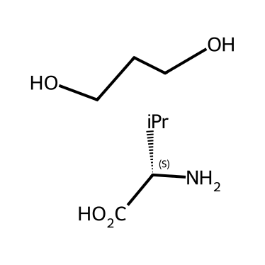 CC(C)[C@H](N)C(=O)O.OCCCO